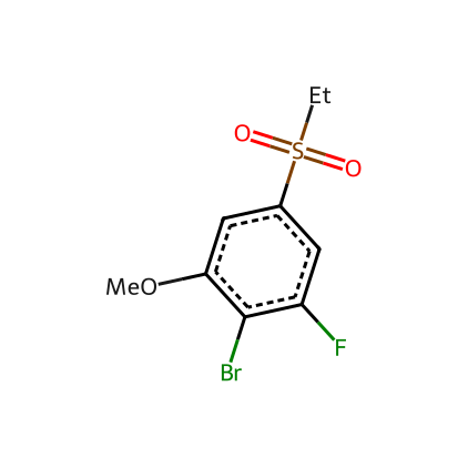 CCS(=O)(=O)c1cc(F)c(Br)c(OC)c1